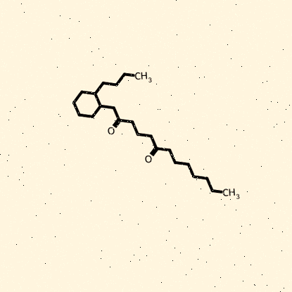 CCCCCCCC(=O)CCCC(=O)CC1CCCCC1CCCC